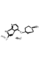 CC(C)N1CCC(Oc2ccnc3[nH]c(C(=O)O)cc23)CC1.Cl